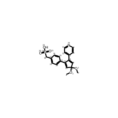 COC1(OC)C=C(c2ccncc2)C(c2ccc(CS(=O)(=O)O)cc2)=C1